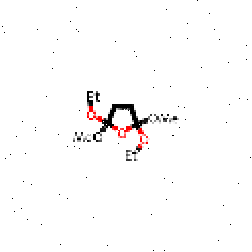 CCOC1(OC)CCC(OC)(OCC)O1